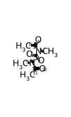 CC(=O)N(C)S(=O)(=O)N(C)C(C)=O